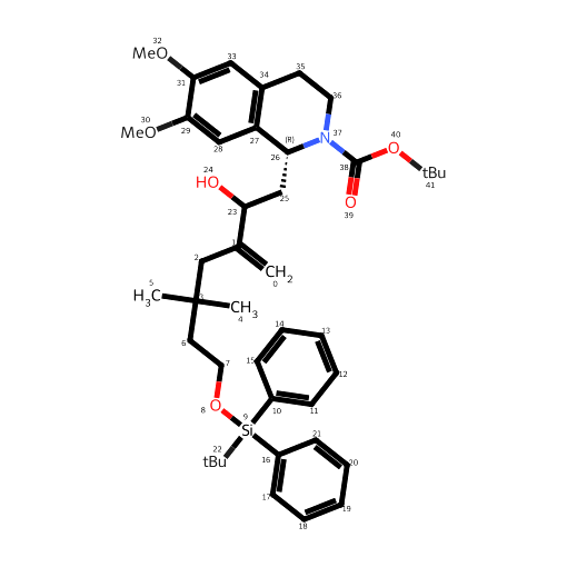 C=C(CC(C)(C)CCO[Si](c1ccccc1)(c1ccccc1)C(C)(C)C)C(O)C[C@@H]1c2cc(OC)c(OC)cc2CCN1C(=O)OC(C)(C)C